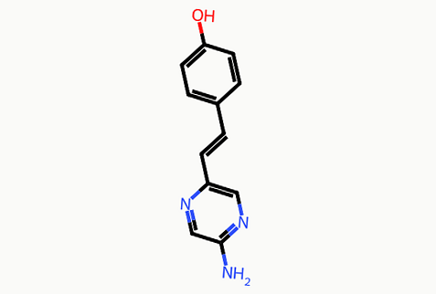 Nc1cnc(C=Cc2ccc(O)cc2)cn1